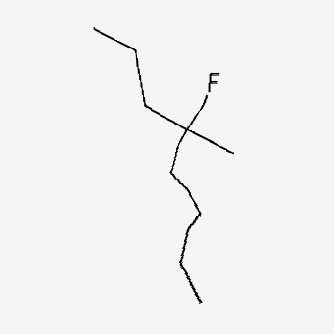 CCCCC(C)(F)CCC